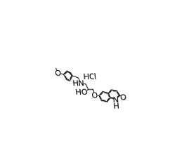 COc1ccc(CNCC(O)COc2ccc3[nH]c(=O)ccc3c2)cc1.Cl